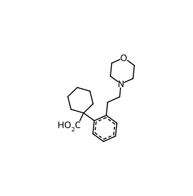 O=C(O)C1(c2ccccc2CCN2CCOCC2)CCCCC1